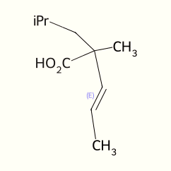 C/C=C/C(C)(CC(C)C)C(=O)O